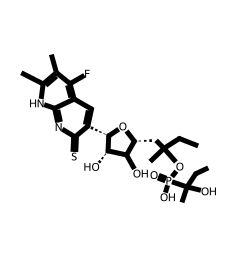 CCC(C)(C[C@H]1O[C@@H](c2cc3c(F)c(C)c(C)[nH]c-3nc2=S)[C@@H](O)C1O)OP(=O)(O)C(C)(O)CC